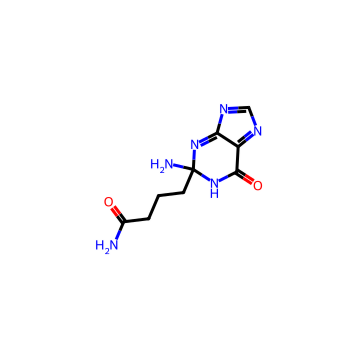 NC(=O)CCCC1(N)N=C2N=CN=C2C(=O)N1